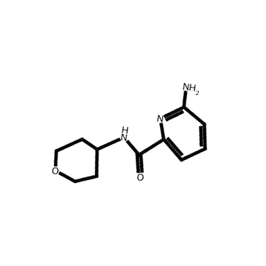 Nc1cccc(C(=O)NC2CCOCC2)n1